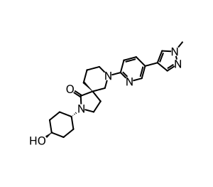 Cn1cc(-c2ccc(N3CCC[C@]4(CCN([C@H]5CC[C@H](O)CC5)C4=O)C3)nc2)cn1